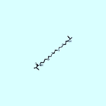 CC(C)NCCOCCOCCOCCOCCCNC(=O)C(C)C